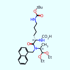 CCOC(OCC)[C@H](C)N(Cc1cccc2ccccc12)C(=O)[C@H](CCCCNC(=O)OC(C)(C)C)NC(=O)O